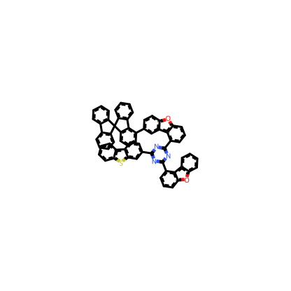 c1ccc2c(c1)-c1ccccc1C21c2ccccc2-c2c(-c3ccc4oc5cccc(-c6nc(-c7ccc8c(c7)sc7ccccc78)nc(-c7cccc8oc9ccccc9c78)n6)c5c4c3)cccc21